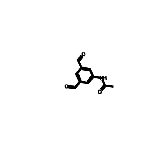 CC(=O)Nc1cc(C=O)cc(C=O)c1